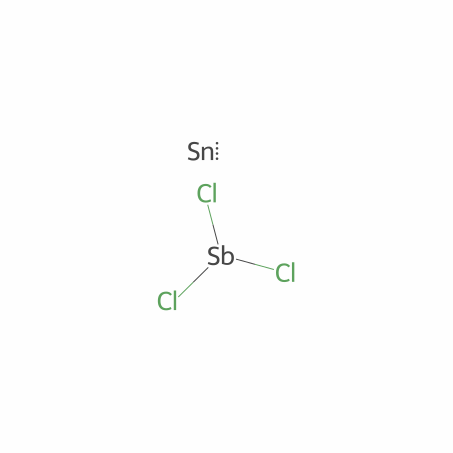 [Cl][Sb]([Cl])[Cl].[Sn]